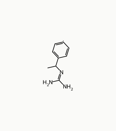 CC(N=C(N)N)c1cc[c]cc1